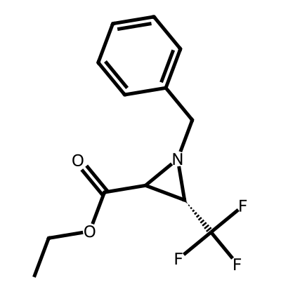 CCOC(=O)C1[C@@H](C(F)(F)F)N1Cc1ccccc1